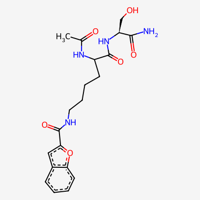 CC(=O)NC(CCCCNC(=O)c1cc2ccccc2o1)C(=O)N[C@@H](CO)C(N)=O